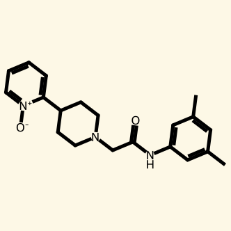 Cc1cc(C)cc(NC(=O)CN2CCC(c3cccc[n+]3[O-])CC2)c1